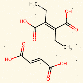 CCC(C(=O)O)=C(CC)C(=O)O.O=C(O)C=CC(=O)O